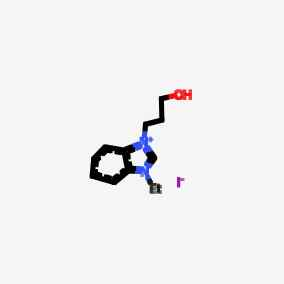 CCn1c[n+](CCCO)c2ccccc21.[I-]